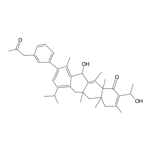 CC(=O)Cc1cccc(-c2cc(C(C)C)c3c(c2C)C(O)C2=C(C)C4(C)C(=O)C(C(C)O)=C(C)CC4(C)CC2(C)C3)c1